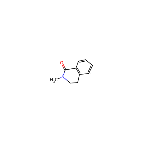 CN1CCc2[c]cccc2C1=O